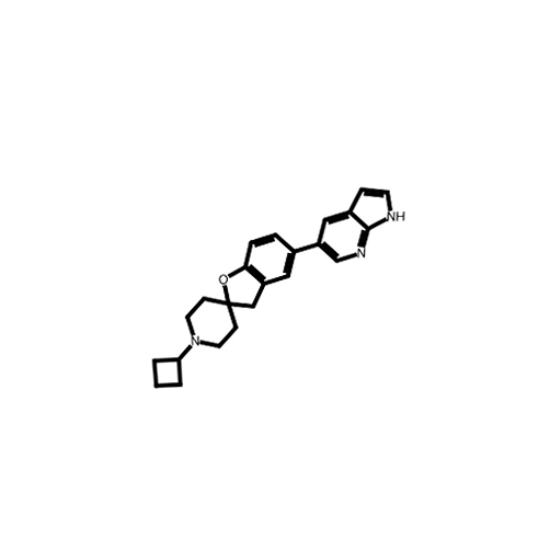 c1cc2cc(-c3ccc4c(c3)CC3(CCN(C5CCC5)CC3)O4)cnc2[nH]1